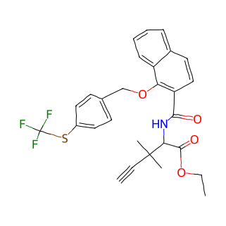 C#CC(C)(C)C(NC(=O)c1ccc2ccccc2c1OCc1ccc(SC(F)(F)F)cc1)C(=O)OCC